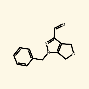 O=Cc1nn(Cc2ccccc2)c2c1COC2